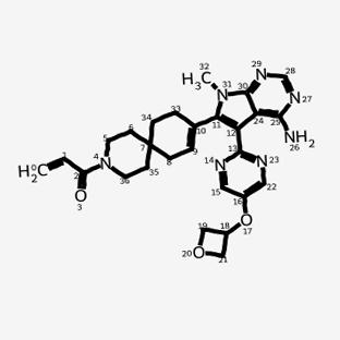 C=CC(=O)N1CCC2(CC=C(c3c(-c4ncc(OC5COC5)cn4)c4c(N)ncnc4n3C)CC2)CC1